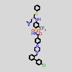 CN(C)CC[C@H](CSc1ccccc1)Nc1ccc(S(=O)(=O)NC(=O)c2ccc(N3CCN(Cc4ccccc4-c4ccc(Cl)cc4)CC3)cc2)c(C(F)(F)F)c1